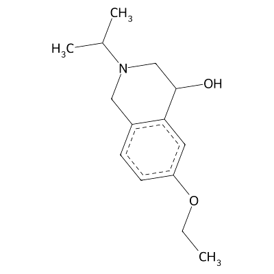 CCOc1ccc2c(c1)C(O)CN(C(C)C)C2